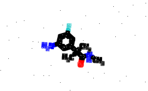 CNC(=O)C(C)(C)c1cc(N)cc(F)c1